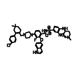 CN1CCC(Nc2ccc(S(=O)(=O)NC(=O)c3ccc(N4CCN(CC5=C(c6ccc(Cl)cc6)CC(C)(C)CC5)CC4)c(F)c3Oc3ccc4[nH]ccc4c3)cc2[N+](=O)[O-])CC1